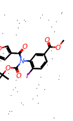 COC(=O)c1ccc(I)c(N(C(=O)OC(C)(C)C)C(=O)c2ccoc2)c1